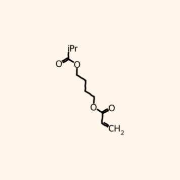 C=CC(=O)OCCCCOC(=O)C(C)C